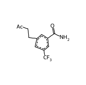 CC(=O)CCc1cc(C(N)=O)cc(C(F)(F)F)c1